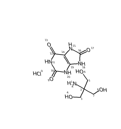 Cl.NC(CO)(CO)CO.O=c1[nH]c(=O)c2[nH]c(=O)[nH]c2[nH]1